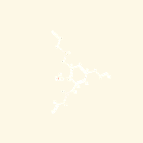 C=CCSCc1cc(CC=C)cc(CSCC=C)c1O